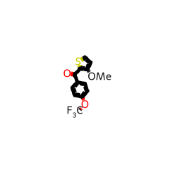 COc1ccsc1C(=O)c1ccc(OC(F)(F)F)cc1